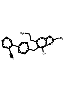 CCCc1nc2cc(C)nn2c(O)c1Cc1ccc(-c2ccccc2C#N)cc1